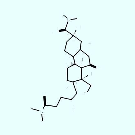 C[C@H](CCC(=O)N(C)C)[C@H]1CC[C@H]2[C@@H]3C(=O)C[C@@H]4C[C@@](O)(C(=O)N(C)C)CC[C@]4(C)[C@H]3CC[C@]12C